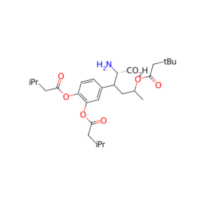 CC(C)CC(=O)Oc1ccc(C(CC(C)OC(=O)CC(C)(C)C)[C@H](N)C(=O)O)cc1OC(=O)CC(C)C